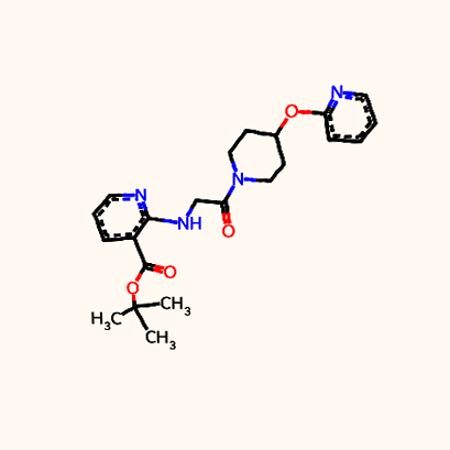 CC(C)(C)OC(=O)c1cccnc1NCC(=O)N1CCC(Oc2ccccn2)CC1